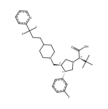 CC(C)(C)[C@H](C(=O)O)N1C[C@H](CN2CCC(CCC(F)(F)c3ccccn3)CC2)[C@@H](c2cccc(F)c2)C1